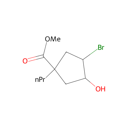 CCCC1(C(=O)OC)CC(O)C(Br)C1